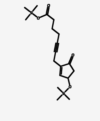 C[Si](C)(C)OC(=O)CCCC#CCC1=CC(O[Si](C)(C)C)CC1=O